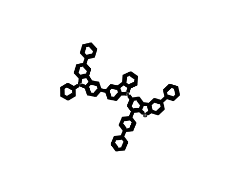 c1ccc(-c2ccc(-c3cc(-n4c5ccccc5c5cc(-c6ccc7c(c6)c6cc(-c8ccccc8)ccc6n7-c6ccccc6)ccc54)cc4c3oc3ccc(-c5ccccc5)cc34)cc2)cc1